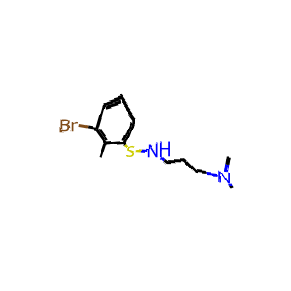 Cc1c(Br)cccc1SNCCCN(C)C